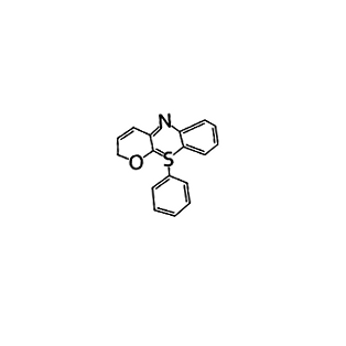 C1=CC2=Nc3ccccc3S(c3ccccc3)=C2OC1